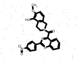 COc1ccc2c(c1O)CCN(C(=O)c1nc(-c3ccc([N+](=O)[O-])cc3)nc3ccccc13)C2